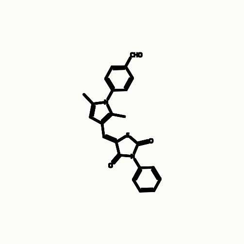 Cc1cc(C=C2SC(=O)N(c3ccccc3)C2=O)c(C)n1-c1ccc(C=O)cc1